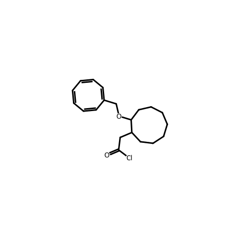 O=C(Cl)CC1CCCCCCCC1OCC1=C/C=C\C=C/C=C\1